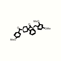 COc1ccc(C(=O)N2CCC(C(=O)NCc3ccc(OC)cc3OC)(c3ccccc3)CC2)cc1